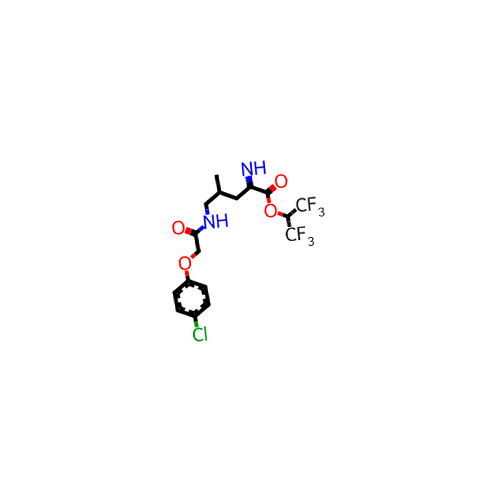 CC(CNC(=O)COc1ccc(Cl)cc1)CC(=N)C(=O)OC(C(F)(F)F)C(F)(F)F